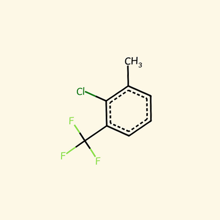 Cc1cccc(C(F)(F)F)c1Cl